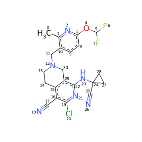 Cc1nc(OC(F)F)ccc1CN1CCc2c(C#N)c(Cl)nc(NC3(C#N)CC3)c2C1